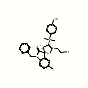 COc1ccc([Si](C)(C)[C@H]2[C@H](CCO)O[C@@]3(C(=O)N(Cc4ccccc4)c4ccc(I)cc43)[C@@H]2C)cc1